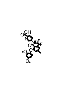 COc1ccc(Oc2cc(C)cc(C(F)(F)F)c2C(=O)Nc2ccc(C(=O)O)nc2)c(OC)c1